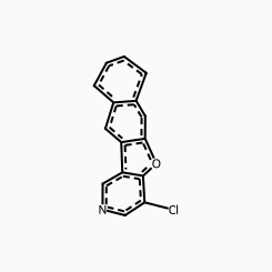 Clc1cncc2c1oc1cc3ccccc3cc12